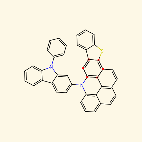 c1ccc(-n2c3ccccc3c3ccc(N(c4ccc5sc6ccccc6c5c4)c4cccc5ccc6ccc7ccccc7c6c45)cc32)cc1